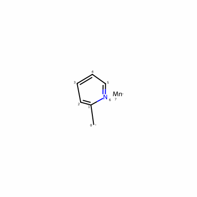 [CH2]c1ccccn1.[Mn]